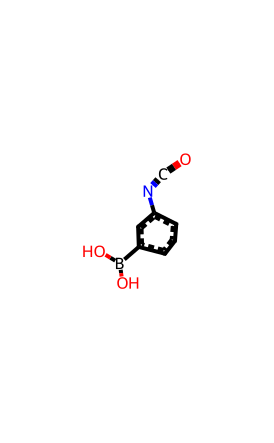 O=C=Nc1cccc(B(O)O)c1